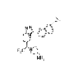 N[C@H]1CCN(C(c2ccc3nnc(-c4ccc5ccc(C6CC6)cc5n4)n3c2)C(F)(F)F)C1